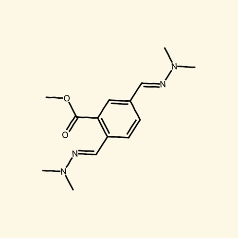 COC(=O)c1cc(/C=N/N(C)C)ccc1/C=N/N(C)C